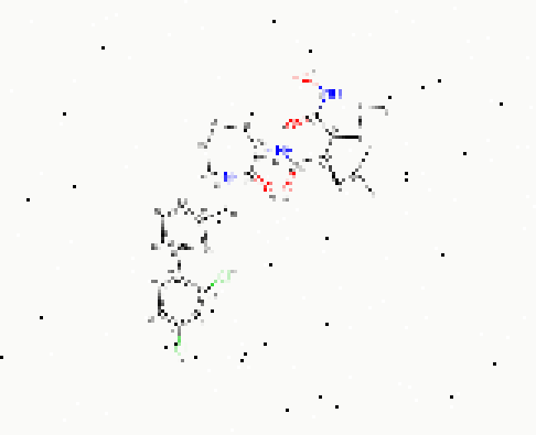 CCC[C@H](C(=O)NO)[C@@H](CC(C)C)C(=O)N[C@H]1CCCCN(Cc2cccc(-c3ccc(Cl)cc3Cl)c2)C1=O